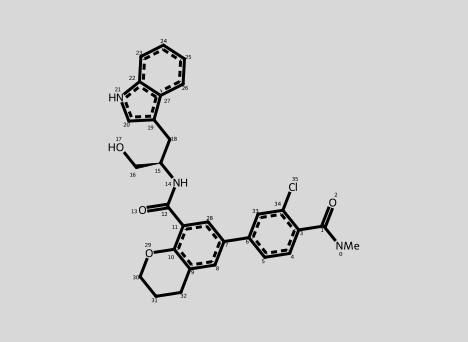 CNC(=O)c1ccc(-c2cc3c(c(C(=O)N[C@@H](CO)Cc4c[nH]c5ccccc45)c2)OCCC3)cc1Cl